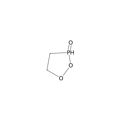 O=[PH]1CCOO1